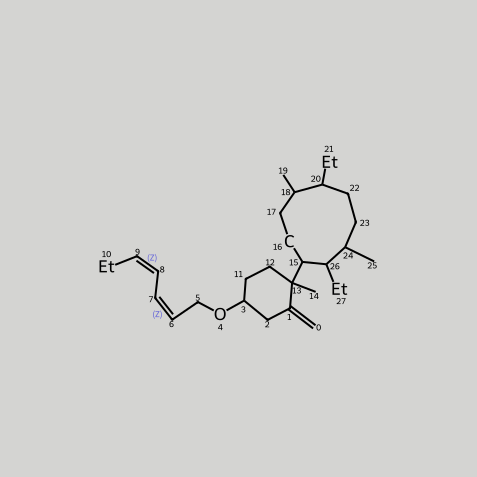 C=C1CC(OC/C=C\C=C/CC)CCC1(C)C1CCC(C)C(CC)CCC(C)C1CC